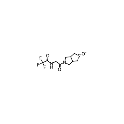 O=C(CNC(=O)C(F)(F)F)N1CC2C[S+]([O-])CC2C1